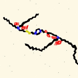 CCCCCCCC/C=C\CCCCCC[C@@H](O)CN(CCCC(=O)OCCN1CCN(CCSSCCCN(CC(O)CCCCCCCC)CC(O)CCCCCCCC)CC1)C[C@H](O)CCCCCC/C=C\CCCCCCCC